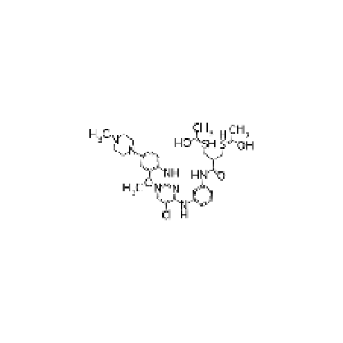 COc1cc(N2CCN(C)CC2)ccc1Nc1ncc(Cl)c(Nc2cccc(NC(=O)C(C[SH]=C(C)O)C[SH]=C(C)O)c2)n1